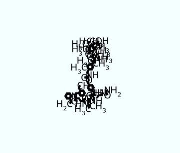 C=Cc1ccccc1N(Cc1ccccc1CC)C(=O)CCC(=O)N[C@H](C(=O)N[C@@H](CCCNC(N)=O)C(=O)Nc1ccc(COC(=O)NCc2ccc(C(C)(C)[C@@H](NC)C(=O)N[C@H](C(=O)N(C)[C@@H](/C=C(\C)C(=O)O)C(C)C)C(C)(C)C)cc2C)cc1)C(C)C